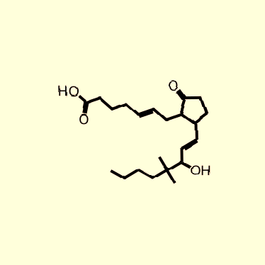 CCCCC(C)(C)C(O)C=CC1CCC(=O)C1CC=CCCCC(=O)O